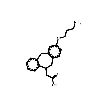 NCCCOc1ccc2c(c1)Cc1ccccc1C(CC(=O)O)C2